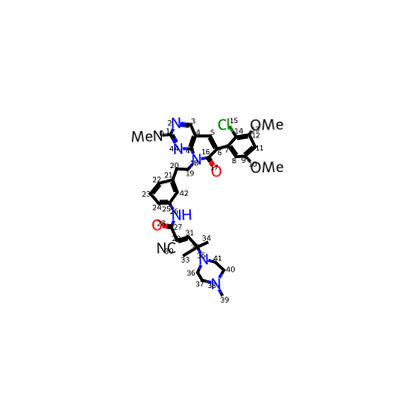 CNc1ncc2cc(-c3cc(OC)cc(OC)c3Cl)c(=O)n(CCc3cccc(NC(=O)C(C#N)=CC(C)(C)N4CCN(C)CC4)c3)c2n1